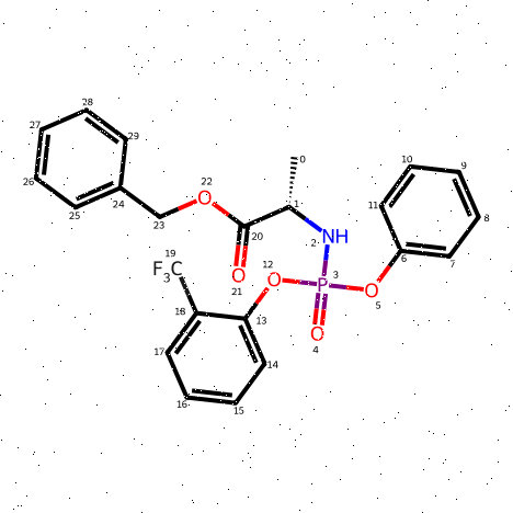 C[C@H](NP(=O)(Oc1ccccc1)Oc1ccccc1C(F)(F)F)C(=O)OCc1ccccc1